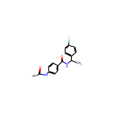 CCCC(=O)Nc1ccc(C(=O)NC(C)c2ccc(F)cc2)cc1